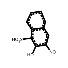 O=Nc1cc2ccccc2c(S(=O)(=O)O)c1O